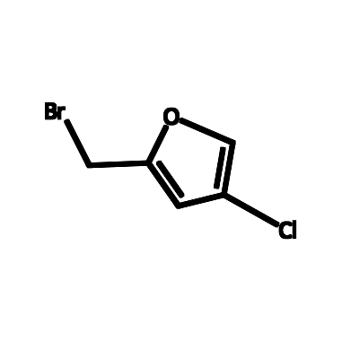 Clc1coc(CBr)c1